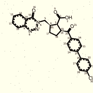 O=C(O)C1[C@H](Cn2nnc3ccccc3c2=O)CC[C@@H]1C(=O)c1ccc(-c2ccc(Cl)cc2)cc1